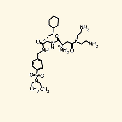 CCN(CC)S(=O)(=O)c1ccc(CNC(=O)[C@H](CCC2CCCCC2)NC(=O)[C@@H](N)CC(=O)N(CCN)CCN)cc1